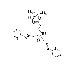 CC(C)(C)OC(=O)CCNP(=O)(CCSSc1ccccn1)CCSSc1ccccn1